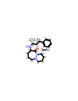 CCOC(=O)[C@H](CCc1ccccc1)NC1CCCN2CCC[C@@H](CC(C)=O)N2C1=O